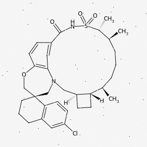 C[C@@H]1CCC[C@H](C)[C@@H](C)S(=O)(=O)NC(=O)c2ccc3c(c2)N(C[C@@H]2CC[C@H]21)C[C@@]1(CCCc2cc(Cl)ccc21)CO3